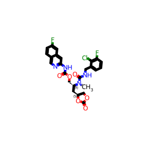 CN(C(=O)NCc1cccc(F)c1Cl)[C@@H](COC(=O)Nc1cc2cc(F)ccc2cn1)C[C@H]1COC(=O)O1